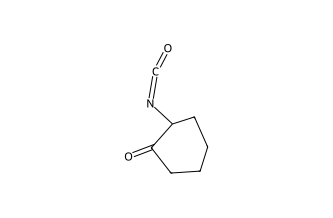 O=C=NC1CCCCC1=O